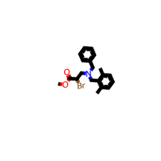 COC(=O)C(Br)CN(Cc1ccccc1)Cc1c(C)cccc1C